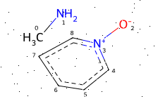 CN.[O-][n+]1ccccc1